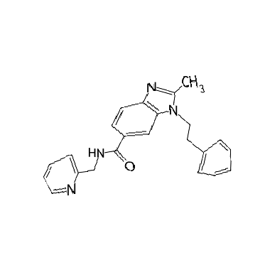 Cc1nc2ccc(C(=O)NCc3ccccn3)cc2n1CCc1ccccc1